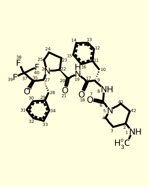 CNC1CCN(C(=O)N[C@@H](Cc2ccccc2)C(=O)NC(=O)[C@@H]2CCCN2[C@H](Cc2ccccc2)C(=O)C(F)(F)F)CC1